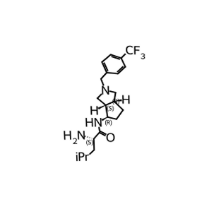 CC(C)C[C@H](N)C(=O)N[C@@H]1CC[C@H]2CN(Cc3ccc(C(F)(F)F)cc3)C[C@H]21